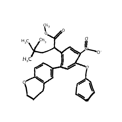 COC(=O)C(CC(C)(C)C)c1cc([N+](=O)[O-])c(Oc2ccccc2)cc1-c1ccc2c(c1)CCCO2